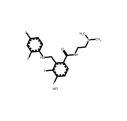 CN(C)CCNC(=O)c1ccc(F)c(F)c1CNc1ccc(I)cc1F.Cl